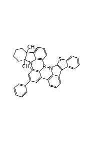 CC12CCCCC1(C)N1c3cc(-c4ccccc4)cc4c3B(c3cccc2c31)n1c2sc3ccccc3c2c2cccc-4c21